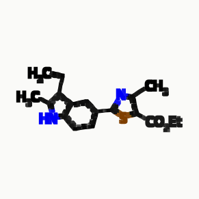 C=Cc1c(C)[nH]c2ccc(-c3nc(C)c(C(=O)OCC)s3)cc12